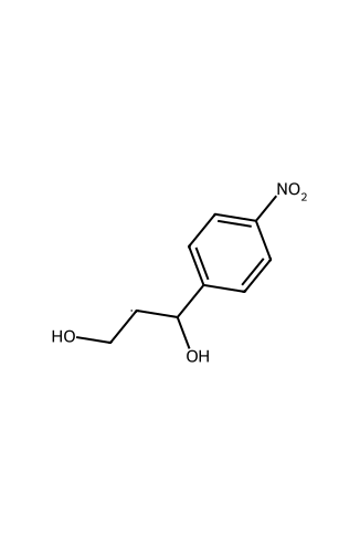 O=[N+]([O-])c1ccc(C(O)[CH]CO)cc1